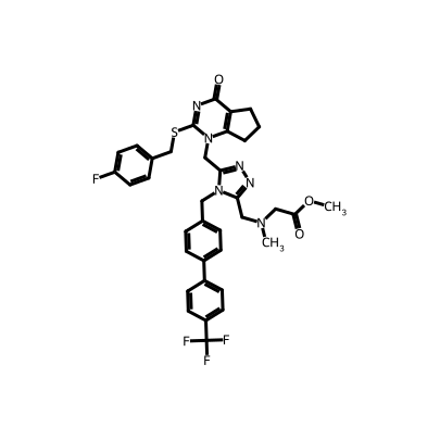 COC(=O)CN(C)Cc1nnc(Cn2c(SCc3ccc(F)cc3)nc(=O)c3c2CCC3)n1Cc1ccc(-c2ccc(C(F)(F)F)cc2)cc1